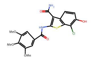 COc1cc(C(=O)Nc2sc3c(Cl)c(O)ccc3c2C(N)=O)cc(OC)c1OC